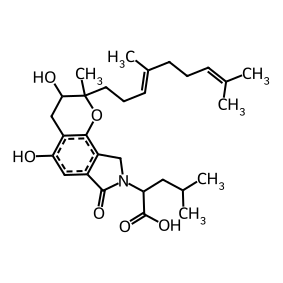 CC(C)=CCC/C(C)=C/CCC1(C)Oc2c(c(O)cc3c2CN(C(CC(C)C)C(=O)O)C3=O)CC1O